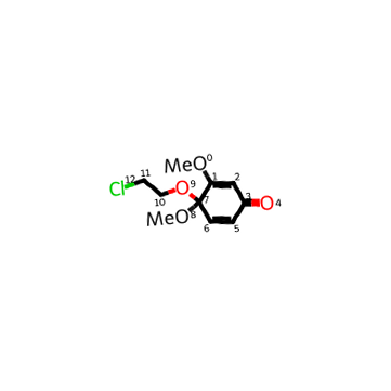 COC1=CC(=O)C=CC1(OC)OCCCl